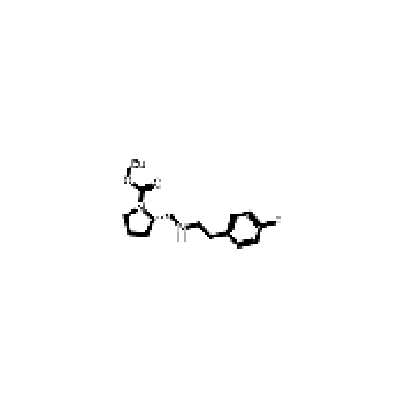 CC(C)(C)OC(=O)N1CCC[C@H]1CNCCc1ccc(F)cc1